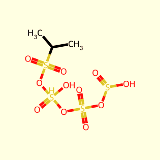 CC(C)S(=O)(=O)O[SH](=O)(O)OS(=O)(=O)OS(=O)O